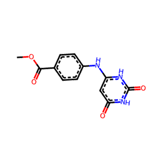 COC(=O)c1ccc(Nc2cc(=O)[nH]c(=O)[nH]2)cc1